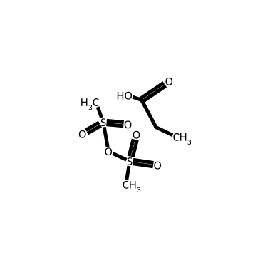 CCC(=O)O.CS(=O)(=O)OS(C)(=O)=O